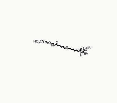 CC(C)C(NC(=O)CCCCCCCSCCCCCC(=O)NCCOCCOCC(=O)O)C(=O)OC(C)(C)C